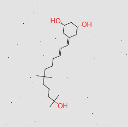 CC(C)(O)CCCC(C)(C)CCCC=CC=C1C[C@@H](O)C[C@H](O)C1